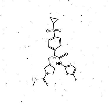 CNC(=S)N1CC[C@H](C[C@@H](C(=O)Nc2ncc(F)s2)c2ccc(S(=O)(=O)C3CC3)cc2)C1